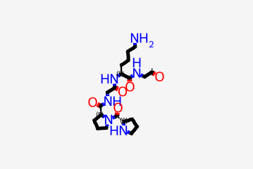 NCCCC[C@H](NC(=O)CNC(=O)[C@@H]1CCCN1C(=O)[C@@H]1CCCN1)C(=O)NC[C]=O